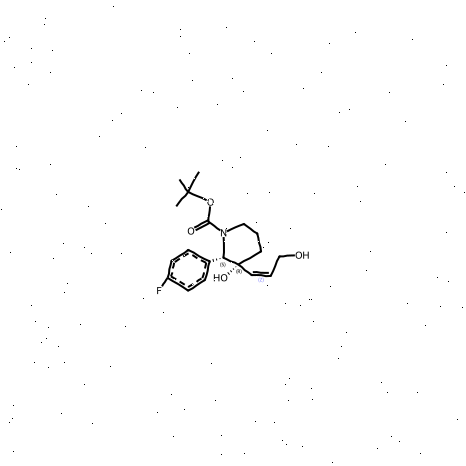 CC(C)(C)OC(=O)N1CCC[C@@](O)(/C=C\CO)[C@@H]1c1ccc(F)cc1